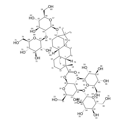 CC1(C)CC23CC[C@H]4[C@@](C)(CCC[C@@]4(C)C(=O)O[C@@H]4O[C@H](CO)[C@@H](O)[C@H](O[C@@H]5O[C@H](CO)[C@@H](O)[C@H](O)[C@H]5O)[C@H]4O[C@@H]4O[C@H](CO)[C@@H](O)[C@H](O)[C@H]4O)[C@@H]2CC[C@]1(O[C@@H]1O[C@H](CO)[C@@H](O)[C@H](O)[C@H]1O[C@@H]1O[C@H](CO)[C@@H](O)[C@H](O)[C@H]1O)C3